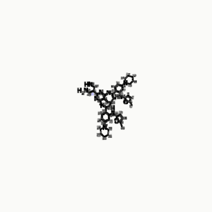 Cc1ccc(Nc2cc(N3CCCCC3)ccc2C2=CC3=CC(c4ccc(N5CCCCC5)cc4Nc4ccc(C)o4)=Nc4nc(/C(C=N)=C/N)nc(c4=C3)=N2)o1